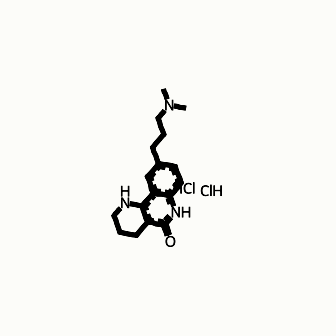 CN(C)CCCc1ccc2[nH]c(=O)c3c(c2c1)NCCC3.Cl.Cl